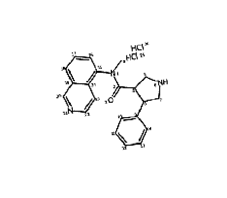 CN(C(=O)C1CNCC1c1ccccc1)c1cccc2cnccc12.Cl.Cl